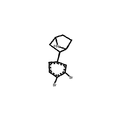 Brc1ccc(C2CC3CCC2N3)cc1Br